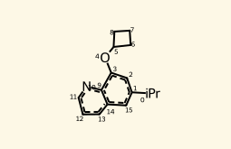 CC(C)c1cc(OC2CCC2)c2ncccc2c1